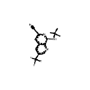 CC(C)(C)Nc1nc(C#N)cc2cc(C(F)(F)F)cnc12